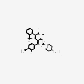 Cn1c(=O)c(-c2ccccc2C(F)(F)F)cc2c(-c3ccc(C#N)c(F)c3)nc(N3CCC(N)CC3)nc21